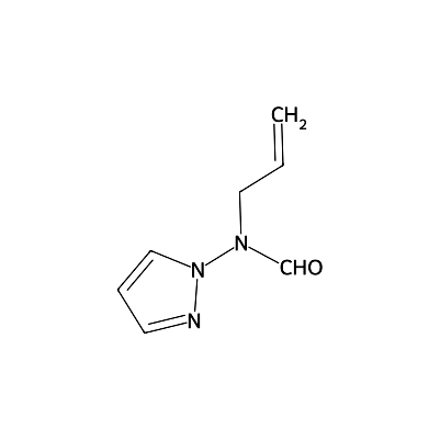 C=CCN(C=O)n1cccn1